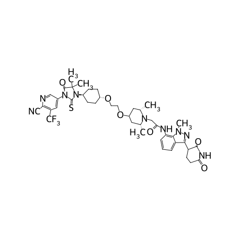 C[C@@H]1CC(OCCO[C@H]2CC[C@H](N3C(=S)N(c4cnc(C#N)c(C(F)(F)F)c4)C(=O)C3(C)C)CC2)C[C@H](C)N1CC(=O)Nc1cccc2c(C3CCC(=O)NC3=O)nn(C)c12